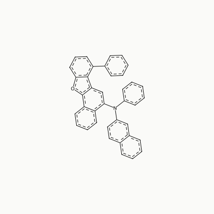 c1ccc(-c2cccc3oc4c5ccccc5c(N(c5ccccc5)c5ccc6ccccc6c5)cc4c23)cc1